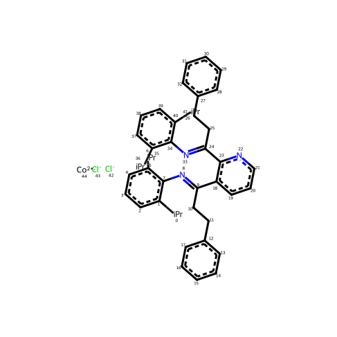 CC(C)c1cccc(C(C)C)c1N=C(CCc1ccccc1)c1cccnc1C(CCc1ccccc1)=Nc1c(C(C)C)cccc1C(C)C.[Cl-].[Cl-].[Co+2]